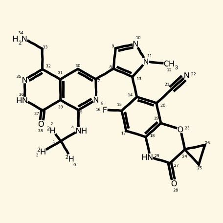 [2H]C([2H])([2H])Nc1nc(-c2cnn(C)c2-c2c(F)cc3c(c2C#N)OC2(CC2)C(=O)N3)cc2c(CN)n[nH]c(=O)c12